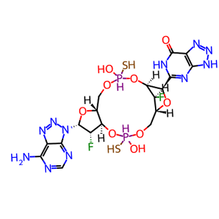 Nc1ncnc2c1nnn2[C@@H]1O[C@@H]2CO[PH](O)(S)O[C@@H]3[C@@H](F)[C@@H](CO[PH](O)(S)O[C@H]2[C@@H]1F)O[C@@H]3c1nc2[nH]nnc2c(=O)[nH]1